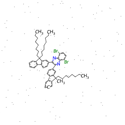 CCCCCCCCC1(C)c2ccccc2-c2ccc(-c3nc4c(Br)ccc(Br)c4nc3-c3ccc4c(c3)C(CCCCCCCC)(CCCCCCCC)c3ccccc3-4)cc21